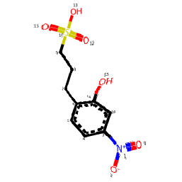 O=[N+]([O-])c1ccc(CCCS(=O)(=O)O)c(O)c1